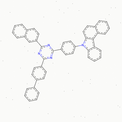 c1ccc(-c2ccc(-c3nc(-c4ccc(-n5c6ccccc6c6c7ccccc7ccc65)cc4)nc(-c4ccc5ccccc5c4)n3)cc2)cc1